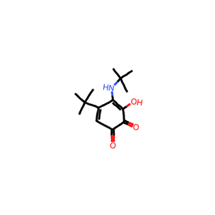 CC(C)(C)NC1=C(O)C(=O)C(=O)C=C1C(C)(C)C